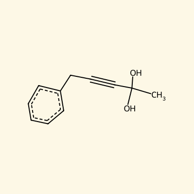 CC(O)(O)C#CCc1ccccc1